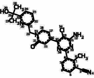 Cc1c(C#N)cccc1-c1nc(N)c(Cl)c(-c2ccn(Cc3cccc(C(C)(C)O)n3)c(=O)c2)n1